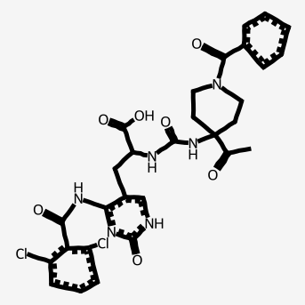 CC(=O)C1(NC(=O)NC(Cc2c[nH]c(=O)nc2NC(=O)c2c(Cl)cccc2Cl)C(=O)O)CCN(C(=O)c2ccccc2)CC1